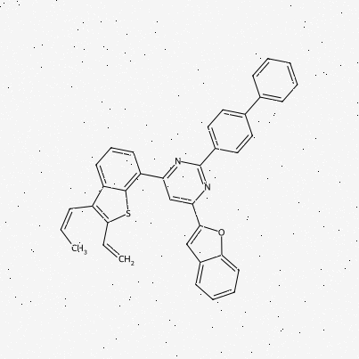 C=Cc1sc2c(-c3cc(-c4cc5ccccc5o4)nc(-c4ccc(-c5ccccc5)cc4)n3)cccc2c1/C=C\C